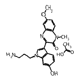 CC(=O)O.COc1ccc2c(c1)nc(-c1cn(CCCN)c3cc(O)ccc13)c(=O)n2C